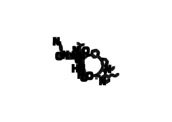 CCCc1ccncc1-c1c2c3cc(ccc3n1CC)-c1cccc(c1)CC(NC(=O)C(C(C)C)N(C)C(=O)[C@H]1CCN(C(=O)C#CCN(C)C)C1)C(=O)N1CCC[C@H](N1)C(=O)OCC(C)(C)C2